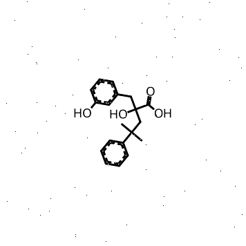 CC(C)(CC(O)(Cc1cccc(O)c1)C(=O)O)c1ccccc1